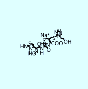 N=c1[nH]c(C(=NO)C(=O)NC2C(=O)N3C(C(=O)[O-])=C(CSc4nnnn4CCO)CS[C@@H]23)cs1.[Na+]